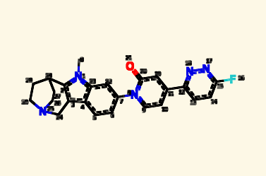 Cn1c2c(c3ccc(-n4ccc(-c5ccc(F)nn5)cc4=O)cc31)CN1CCC2CC1